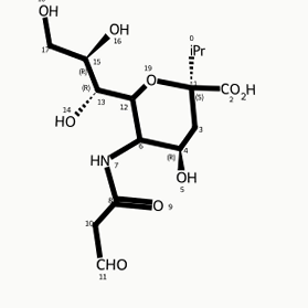 CC(C)[C@]1(C(=O)O)C[C@@H](O)C(NC(=O)CC=O)C([C@H](O)[C@H](O)CO)O1